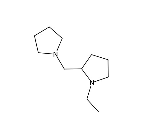 CCN1CCCC1CN1CCCC1